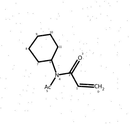 C=CC(=O)N(C(C)=O)C1CCCCC1